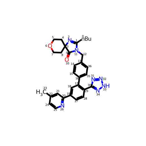 CCCCC1=NC2(CCOCC2)C(=O)N1Cc1ccc(-c2cc(-c3cc(C)ccn3)ccc2-c2nn[nH]n2)cc1